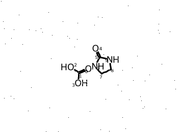 O=C(O)O.O=C1NCCN1